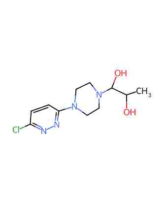 CC(O)C(O)N1CCN(c2ccc(Cl)nn2)CC1